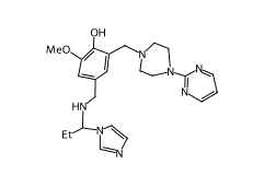 CCC(NCc1cc(CN2CCN(c3ncccn3)CC2)c(O)c(OC)c1)n1ccnc1